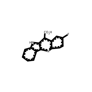 O=C(O)c1c2cc(F)ccc2nc2c1[nH]c1ccccc12